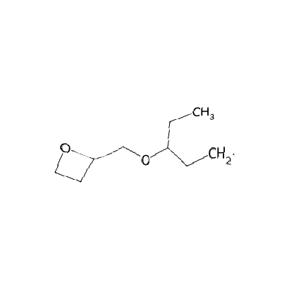 [CH2]CC(CC)OCC1CCO1